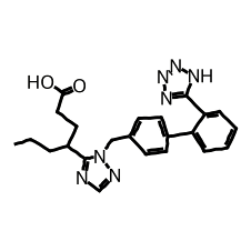 CCCC(CCC(=O)O)c1ncnn1Cc1ccc(-c2ccccc2-c2nnn[nH]2)cc1